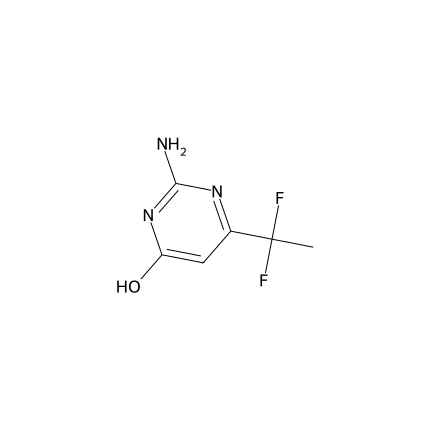 CC(F)(F)c1cc(O)nc(N)n1